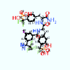 NC(=O)[C@H](Cc1ccc(C(F)(F)P(=O)(O)O)cc1)NC(=O)[C@H](Cc1ccc(C(F)(F)P(=O)(O)O)cc1)NC(=O)c1cc(I)cc(C2(C(F)(F)F)N=N2)c1